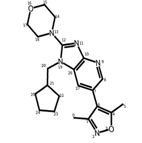 Cc1noc(C)c1-c1cnc2nc(N3CCOCC3)n(CC3CCCC3)c2c1